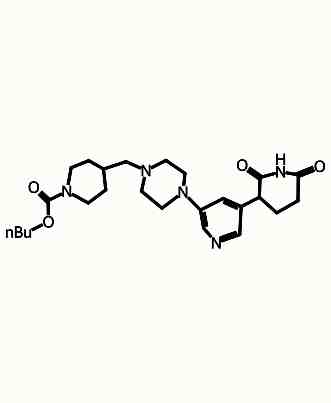 CCCCOC(=O)N1CCC(CN2CCN(c3cncc(C4CCC(=O)NC4=O)c3)CC2)CC1